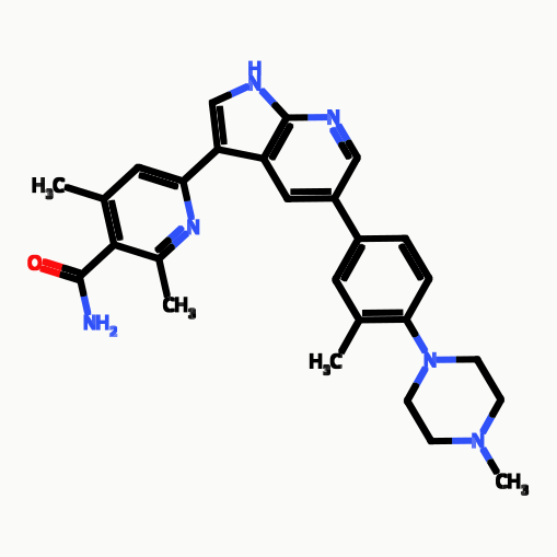 Cc1cc(-c2cnc3[nH]cc(-c4cc(C)c(C(N)=O)c(C)n4)c3c2)ccc1N1CCN(C)CC1